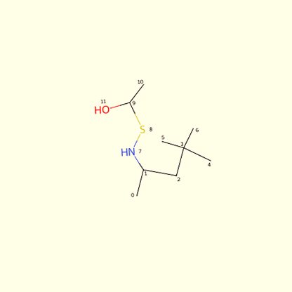 CC(CC(C)(C)C)NSC(C)O